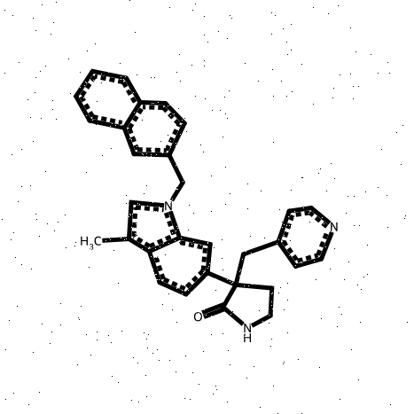 Cc1cn(Cc2ccc3ccccc3c2)c2cc(C3(Cc4ccncc4)CCNC3=O)ccc12